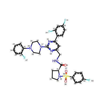 O=C(NCc1cc(-c2ccc(F)cc2F)nc(N2CCN(c3ccccc3F)CC2)n1)[C@@H]1CCCN1S(=O)(=O)c1ccc(F)cc1